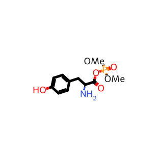 COP(=O)(OC)OC(=O)[C@@H](N)Cc1ccc(O)cc1